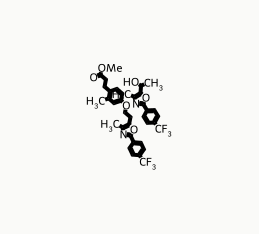 COC(=O)CCc1ccc(OCCc2oc(-c3ccc(C(F)(F)F)cc3)nc2C)cc1C.Cc1nc(-c2ccc(C(F)(F)F)cc2)oc1C(C)O